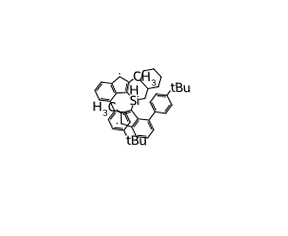 CC1=C([SiH](CC2CCCCC2)C2=C(C)[CH]c3cccc(-c4ccc(C(C)(C)C)cc4)c32)c2c(cccc2-c2ccc(C(C)(C)C)cc2)[CH]1